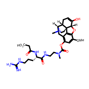 COc1cc(OC(=O)N(C)CCNC(=O)[C@H](CCCNC(=N)N)NC(=O)CC(=O)O)c2c3c1O[C@H]1C(O)=CC[C@H]4[C@@H](C2)N(C)CC[C@]314